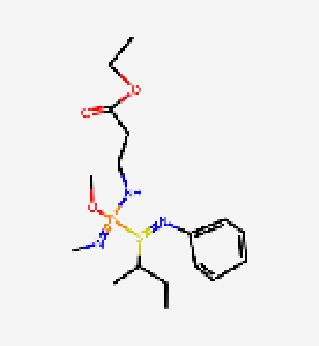 CCOC(=O)CCNP(=NC)(OC)S(=Nc1ccccc1)C(C)CC